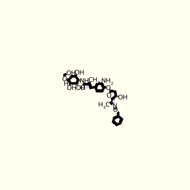 C/C(=C\c1ccc(O[C@H]2C[C@H](O)[C@@H](/C(C)=N/OCc3ccccc3)O2)c(N)c1)C(=O)N[C@@H]1[C@H](O)[C@@H](O)[C@H]2OCO[C@H]2[C@@H]1O